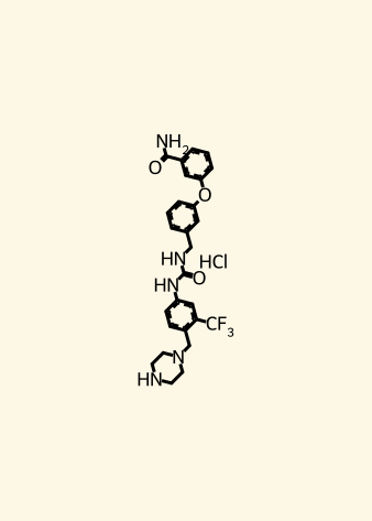 Cl.NC(=O)c1cccc(Oc2cccc(CNC(=O)Nc3ccc(CN4CCNCC4)c(C(F)(F)F)c3)c2)c1